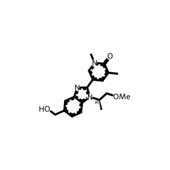 COC[C@@H](C)n1c(-c2cc(C)c(=O)n(C)c2)nc2cc(CO)ccc21